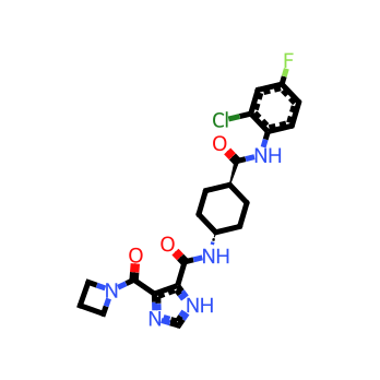 O=C(N[C@H]1CC[C@H](C(=O)Nc2ccc(F)cc2Cl)CC1)c1[nH]cnc1C(=O)N1CCC1